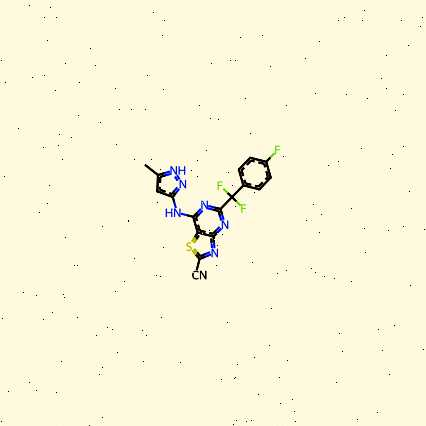 Cc1cc(Nc2nc(C(F)(F)c3ccc(F)cc3)nc3nc(C#N)sc23)n[nH]1